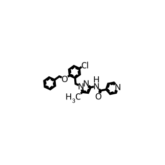 Cc1cc(NC(=O)c2ccncc2)nn1Cc1cc(Cl)ccc1OCc1ccccc1